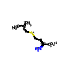 C[SiH](C)CSCC[C@H](N)C(=O)O